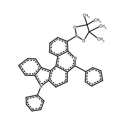 CC1(C)OB(c2cccc3c2nc(-c2ccccc2)c2ccc4c(c5ccccc5n4-c4ccccc4)c23)OC1(C)C